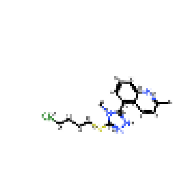 Cc1ccc2c(-c3nnc(SCCCCCl)n3C)cccc2n1